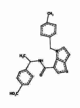 Cc1ccc(Cn2ccc3scc(C(=O)NC(C)c4ccc(C(=O)O)cc4)c32)cc1